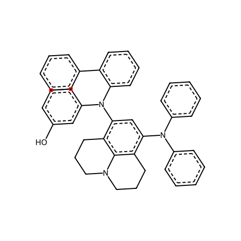 Oc1cccc(N(c2ccccc2-c2ccccc2)c2cc(N(c3ccccc3)c3ccccc3)c3c4c2CCCN4CCC3)c1